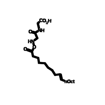 CCCCCCCCC=CCCCCCCCC(=O)ONCC(=O)NCC(=O)O